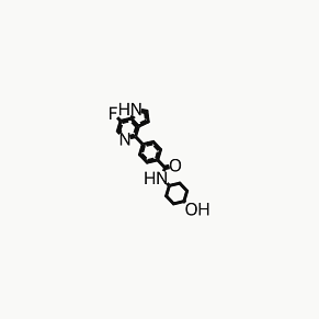 O=C(NC1CCC(O)CC1)c1ccc(-c2ncc(F)c3[nH]ccc23)cc1